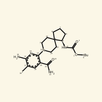 CC(C)(C)OC(=O)N[C@@H]1CCCC12CCN(c1nc(N)c(I)cc1C(N)=O)CC2